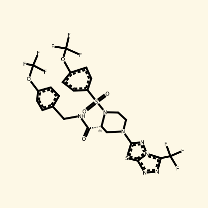 O=C(NCc1ccc(OC(F)(F)F)cc1)[C@H]1CN(c2nn3c(C(F)(F)F)nnc3s2)CCN1S(=O)(=O)c1ccc(OC(F)(F)F)cc1